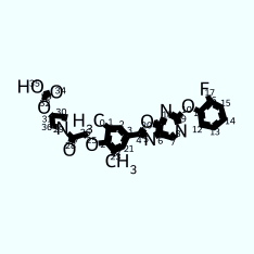 Cc1cc(-c2nc3cnc(Oc4ccccc4F)nc3o2)cc(C)c1OCC(=O)N1CC(OC(=O)O)C1